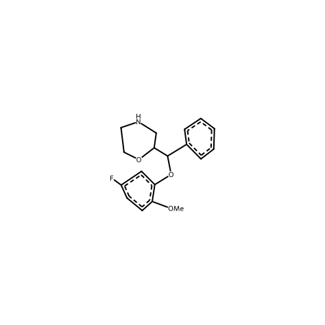 COc1ccc(F)cc1OC(c1ccccc1)C1CNCCO1